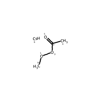 COOC(C)=O.[CsH]